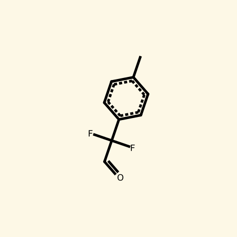 Cc1ccc(C(F)(F)C=O)cc1